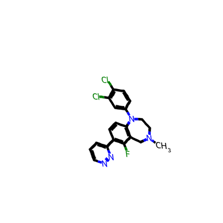 CN1CCN(c2ccc(Cl)c(Cl)c2)c2ccc(-c3cccnn3)c(F)c2C1